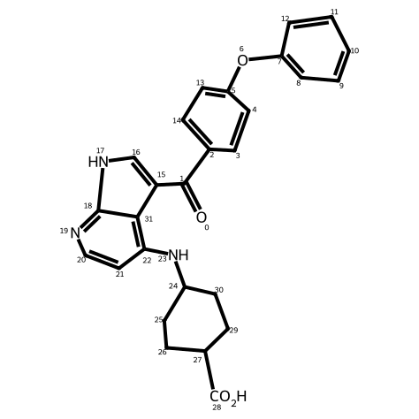 O=C(c1ccc(Oc2ccccc2)cc1)c1c[nH]c2nccc(NC3CCC(C(=O)O)CC3)c12